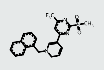 CS(=O)(=O)c1nc(C2=CN(Cc3cccc4ccccc34)CC=C2)cc(C(F)(F)F)n1